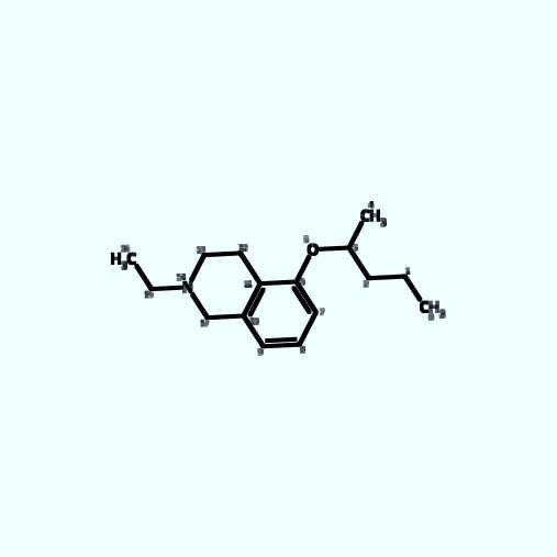 CCCC(C)Oc1cccc2c1CCN(CC)C2